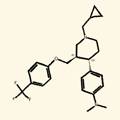 CN(C)c1ccc([C@H]2CCN(CC3CC3)C[C@@H]2COc2ccc(C(F)(F)F)cc2)cc1